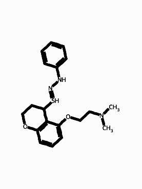 CN(C)CCOc1cccc2c1C(/[SH]=N/Nc1ccccc1)CCO2